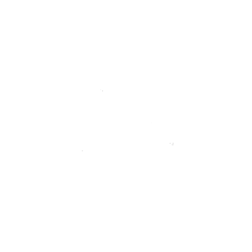 Cc1cc(-c2noc(C(F)F)c2-c2ccc(S(N)(=O)=O)c(F)c2)ccc1C(F)(F)F